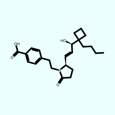 CCCCC1([C@H](O)/C=C/[C@H]2CCC(=O)N2CCc2ccc(C(=O)O)cc2)CCC1